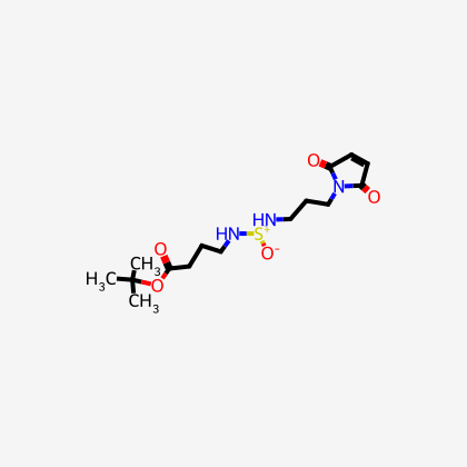 CC(C)(C)OC(=O)CCCN[S+]([O-])NCCCN1C(=O)C=CC1=O